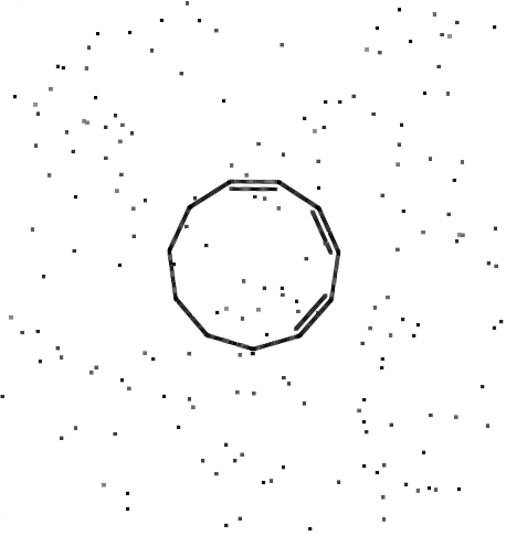 [CH]1C=CC=CC=CCCCC1